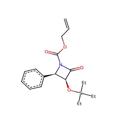 C=CCOC(=O)N1C(=O)[C@@H](O[Si](CC)(CC)CC)[C@H]1c1ccccc1